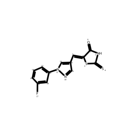 O=C1NC(=S)S/C1=C\c1cnn(-c2cccc(F)c2)c1